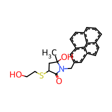 CC1(O)CC(SCCO)C(=O)N1Cc1cc2ccc3cccc4ccc(c1)c2c34